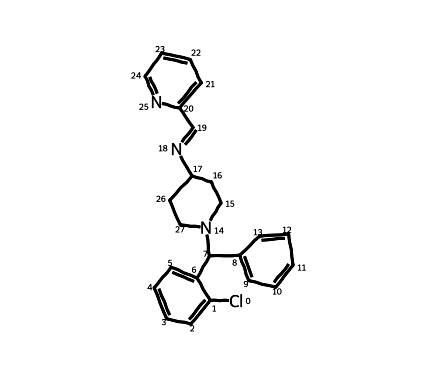 Clc1ccccc1C(c1ccccc1)N1CCC(N=Cc2ccccn2)CC1